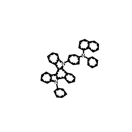 c1ccc(N(c2ccc(-n3c4ccccc4c4c5c6ccccc6n(-c6ccccc6)c5c5ccccc5c43)cc2)c2cccc3ccccc23)cc1